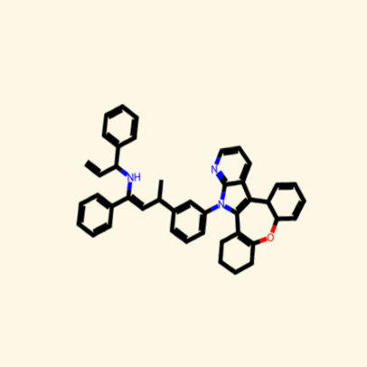 C=CC(N/C(=C\C(C)c1cccc(-n2c3c(c4cccnc42)C2C=CC=CC2OC2=C3CCCC2)c1)c1ccccc1)c1ccccc1